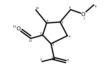 C=C(C)C1CC(COC)C(C)C1C=O